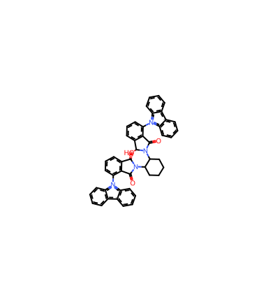 O=C1c2cccc(-n3c4ccccc4c4ccccc43)c2C(=O)N1C1CCCCC1N1C(=O)c2c(cccc2-n2c3ccccc3c3ccccc32)C1O